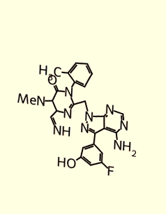 CNC1C(=O)N(c2ccccc2C)C(Cn2nc(-c3cc(O)cc(F)c3)c3c(N)ncnc32)=NC1C=N